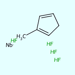 CC1=CCC=C1.F.F.F.F.[Nb]